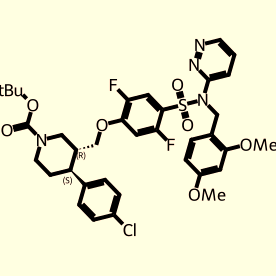 COc1ccc(CN(c2cccnn2)S(=O)(=O)c2cc(F)c(OC[C@H]3CN(C(=O)OC(C)(C)C)CC[C@@H]3c3ccc(Cl)cc3)cc2F)c(OC)c1